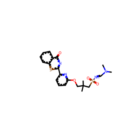 CN(C)/C=N/S(=O)(=O)CC(C)(C)COc1cccc(-c2nc(=O)c3ccccc3s2)n1